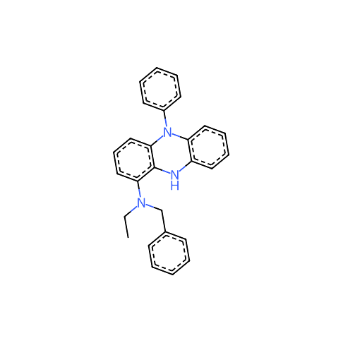 CCN(Cc1ccccc1)c1cccc2c1Nc1ccccc1N2c1ccccc1